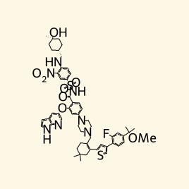 COC(C)(C)c1ccc(-c2csc(C3=C(CN4CCN(c5ccc(C(=O)NS(=O)(=O)c6ccc(NC[C@H]7CC[C@](C)(O)CC7)c([N+](=O)[O-])c6)c(Oc6cnc7[nH]ccc7c6)c5)CC4)CCC(C)(C)C3)c2)c(F)c1